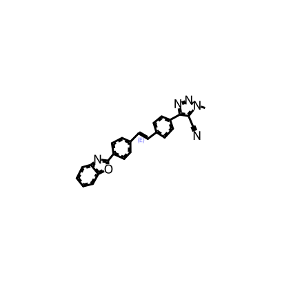 Cn1nnc(-c2ccc(/C=C/c3ccc(-c4nc5ccccc5o4)cc3)cc2)c1C#N